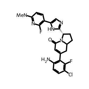 CNc1ccc(-c2cnc([C@@H]3CCC4CC(c5c(N)ccc(Cl)c5F)=CC(=O)N43)[nH]2)c(F)n1